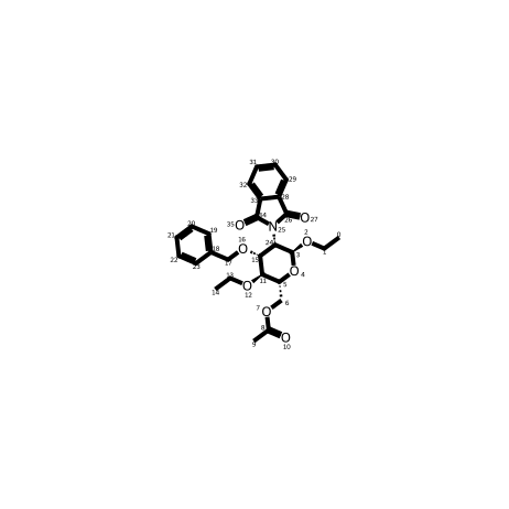 CCO[C@H]1O[C@H](COC(C)=O)[C@@H](OCC)[C@H](OCc2ccccc2)[C@@H]1N1C(=O)c2ccccc2C1=O